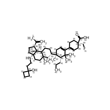 C=C(C)[C@@H]1CC[C@]2(NCCC3(O)CCC3)CC[C@@]3(C)C[C@@H]([C@@]4(C)CC=C(C5=CC[C@](CF)(C(=O)O)CC5)C(C)(C)[C@@H]4CCC)CC[C@@H]3[C@@H]12